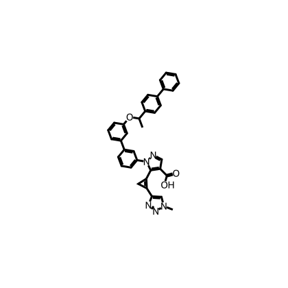 CC(Oc1cccc(-c2cccc(-n3ncc(C(=O)O)c3C3=C(c4cn(C)nn4)C3)c2)c1)c1ccc(-c2ccccc2)cc1